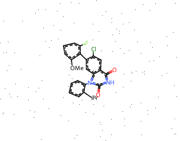 COc1cccc(F)c1-c1cc2c(cc1Cl)c(=O)[nH]c(=O)n2-c1ccccc1C(C)C